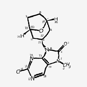 Cn1c(=O)n([C@@H]2C[C@H]3CC[C@@H](C2)O3)c2nc(Cl)ncc21